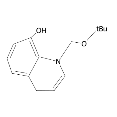 CC(C)(C)OCN1C=CCc2cccc(O)c21